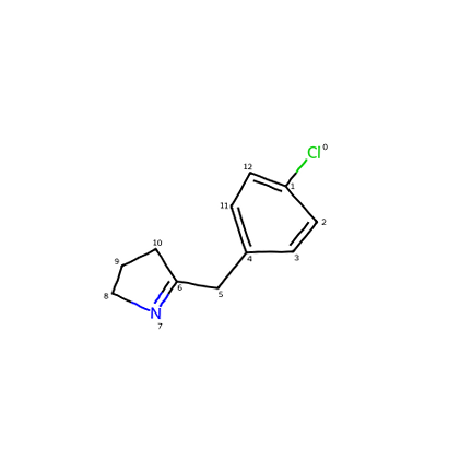 Clc1ccc(CC2=NCCC2)cc1